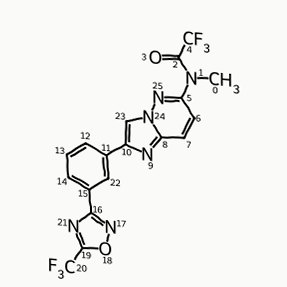 CN(C(=O)C(F)(F)F)c1ccc2nc(-c3cccc(-c4noc(C(F)(F)F)n4)c3)cn2n1